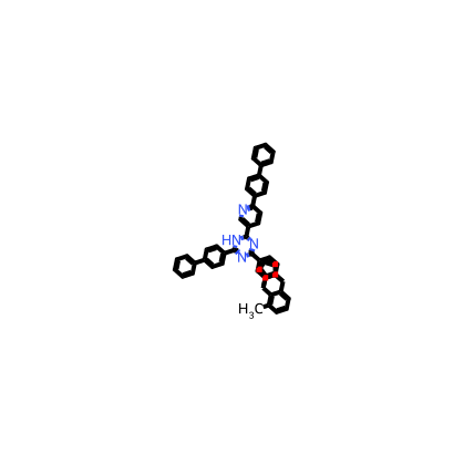 Cc1cccc2c1C1C3=CC=CC3C2c2ccc(C3=NC(c4ccc(-c5ccc(-c6ccccc6)cc5)nc4)NC(c4ccc(-c5ccccc5)cc4)=N3)cc21